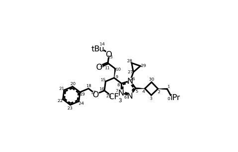 CC(C)C[C@H]1C[C@@H](c2nnc([C@H](CC(=O)OC(C)(C)C)CC(OCc3ccccc3)C(F)(F)F)n2C2CC2)C1